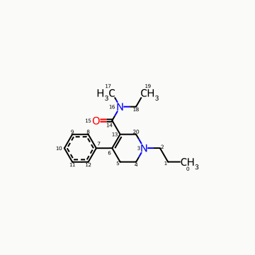 CCCN1CCC(c2ccccc2)=C(C(=O)N(C)CC)C1